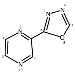 c1cnc(-c2nnco2)cn1